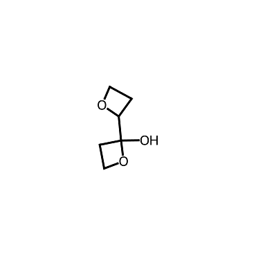 OC1(C2CCO2)CCO1